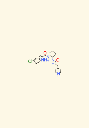 CN1CCC(CCC(=O)N[C@@H]2CCCC[C@@H]2NC(=O)c2cc3cc(Cl)ccc3[nH]2)CC1